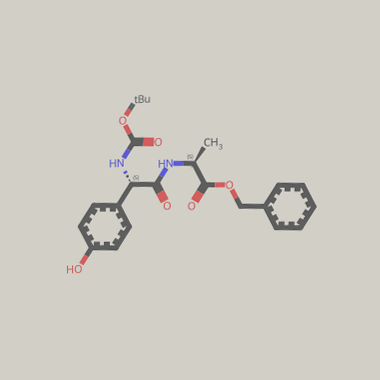 C[C@H](NC(=O)[C@@H](NC(=O)OC(C)(C)C)c1ccc(O)cc1)C(=O)OCc1ccccc1